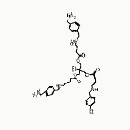 CCc1ccc(CNCCC(=O)OCC(CC)(COC(=O)CCNCc2ccc(CN)cc2)COC(=O)CCNCc2ccc(CN)cc2)cc1